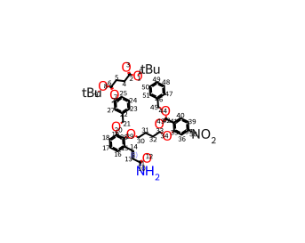 CC(C)(C)OC(=O)CCC(=O)OC(C)(C)C.NC(=O)/C=C/c1cccc(OCc2ccccc2)c1OCCCCOc1cc([N+](=O)[O-])ccc1C(=O)OCc1ccccc1